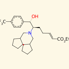 CCOC(=O)/C=C/CC[C@H]([C@@H](O)c1ccc(C(F)(F)F)cc1)N(CC1CCCC1)CC1CCCC1